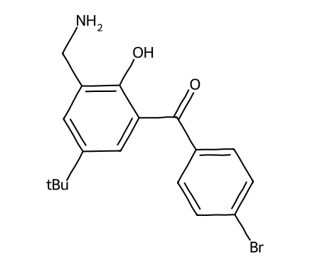 CC(C)(C)c1cc(CN)c(O)c(C(=O)c2ccc(Br)cc2)c1